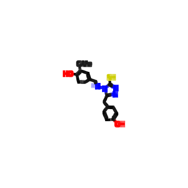 COc1cc(/C=N/n2c(S)nnc2Cc2ccc(O)cc2)ccc1O